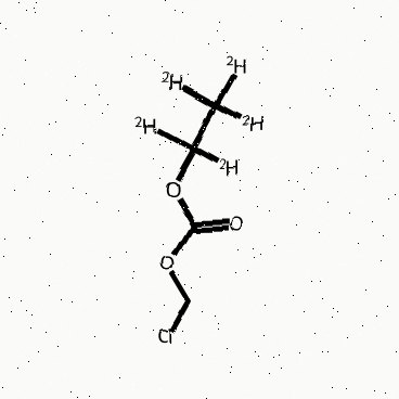 [2H]C([2H])([2H])C([2H])([2H])OC(=O)OCCl